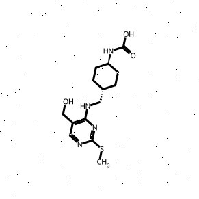 CSc1ncc(CO)c(NC[C@H]2CC[C@H](NC(=O)O)CC2)n1